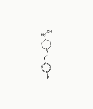 ONC1CCN(CCc2ccc(F)cc2)CC1